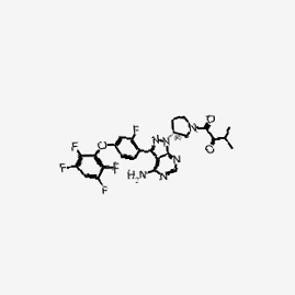 CC(C)C(=O)C(=O)N1CC[C@@H](n2nc(-c3ccc(Oc4c(F)c(F)cc(F)c4F)cc3F)c3c(N)ncnc32)C1